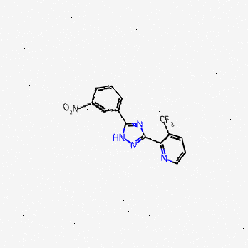 O=[N+]([O-])c1cccc(-c2nc(-c3ncccc3C(F)(F)F)n[nH]2)c1